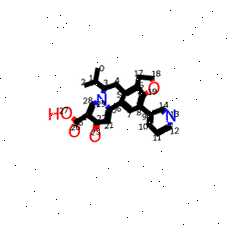 CC(C)C1Cc2c(cc(-c3cccnc3)c3c2CCO3)-c2cc(=O)c(C(=O)O)cn21